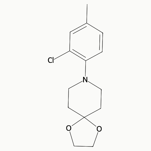 Cc1ccc(N2CCC3(CC2)OCCO3)c(Cl)c1